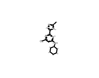 Cc1nsc(-c2nc(Cl)cc(NC3CCCCC3)n2)n1